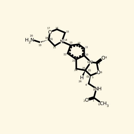 CC(=O)NC[C@@H]1OC(=O)N2c3ccc(N4CCO[C@@H](CN)C4)cc3C[C@@H]12